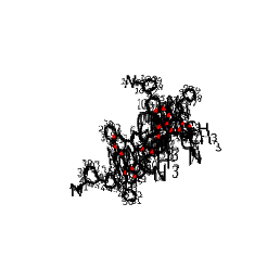 Cc1ccc2c(c1)c1ccccc1n2-c1cc(C#N)ccc1-c1nc(-c2ccccc2)nc(-c2cc(-c3cccc(C#N)c3)ccc2-n2c3ccccc3c3cc(CCC(C)(C)c4ccc5c(c4)c4ccccc4n5-c4cc(C#N)ccc4-c4nc(-c5ccccc5)nc(-c5cc(-c6cccc(C#N)c6)ccc5-n5c6ccccc6c6cc(C(C)(C)C)ccc65)n4)ccc32)n1